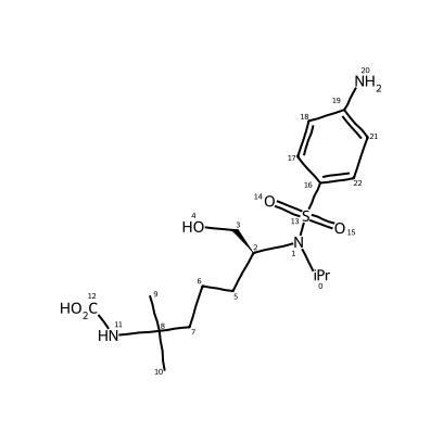 CC(C)N([C@H](CO)CCCC(C)(C)NC(=O)O)S(=O)(=O)c1ccc(N)cc1